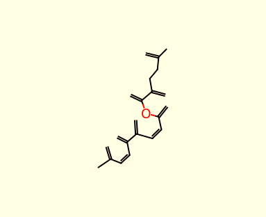 C=C(C)/C=C\C(=C)C(=C)/C=C\C(=C)OC(=C)C(=C)CCC(=C)C